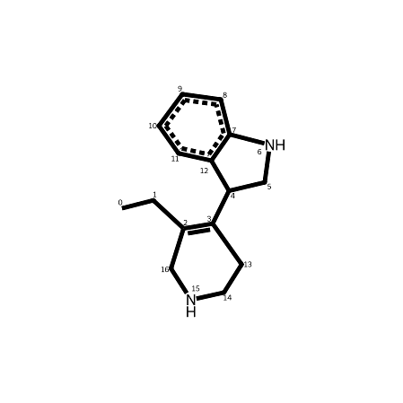 CCC1=C(C2CNc3ccccc32)CCNC1